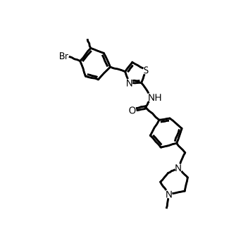 Cc1cc(-c2csc(NC(=O)c3ccc(CN4CCN(C)CC4)cc3)n2)ccc1Br